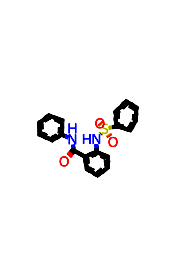 O=C(Nc1ccccc1)c1ccccc1NS(=O)(=O)c1ccccc1